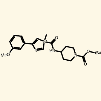 COc1cccc(C2=C[N+](C)(C(=O)NC3CCN(C(=O)OC(C)(C)C)CC3)C=N2)c1